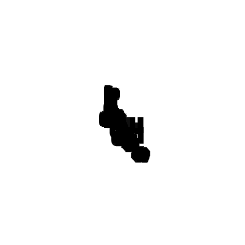 CCN(CC)CCOc1ccc(NC(=O)CC(=O)c2ccc(-c3ccccc3)cc2Cl)cc1OC